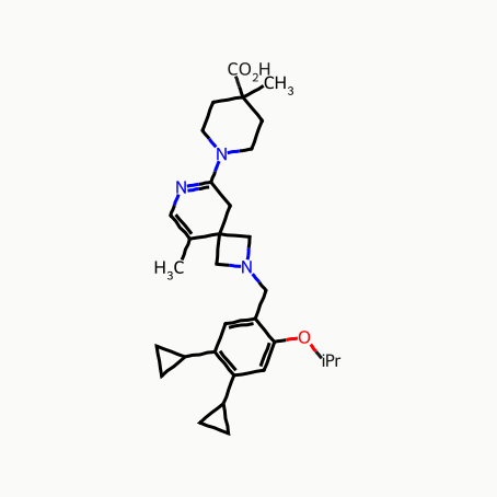 CC1=CN=C(N2CCC(C)(C(=O)O)CC2)CC12CN(Cc1cc(C3CC3)c(C3CC3)cc1OC(C)C)C2